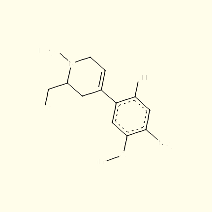 Cc1cc([N+](=O)[O-])c(OC(C)C)cc1C1=CCN(C(=O)O)C(CC(Cl)(Cl)Cl)C1